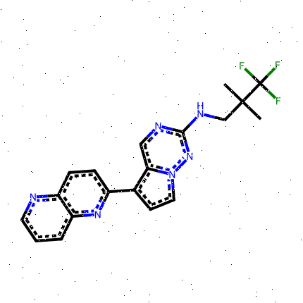 CC(C)(CNc1ncc2c(-c3ccc4ncccc4n3)ccn2n1)C(F)(F)F